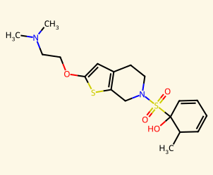 CC1C=CC=CC1(O)S(=O)(=O)N1CCc2cc(OCCN(C)C)sc2C1